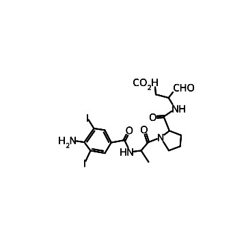 CC(NC(=O)c1cc(I)c(N)c(I)c1)C(=O)N1CCCC1C(=O)NC(C=O)CC(=O)O